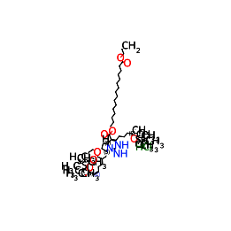 C=CCOC(=O)CCCCCCCCCCCCCCCOC(=O)C1=C(CCC[C@H](C)O[Si](C)(C)C(C)(C)C)NC(=N)N2[C@H](CC(CC/C=C\[C@H](CC)O[Si](C(C)C)(C(C)C)C(C)C)C3OCCCO3)CC[C@@H]12.Cl